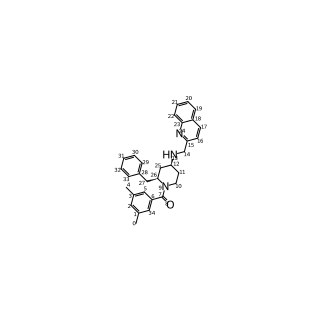 Cc1cc(C)cc(C(=O)N2CC[C@H](NCc3ccc4ccccc4n3)C[C@@H]2Cc2ccccc2)c1